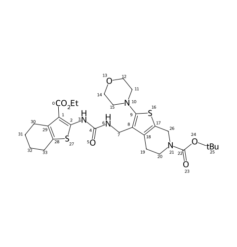 CCOC(=O)c1c(NC(=O)NCc2c(N3CCOCC3)sc3c2CCN(C(=O)OC(C)(C)C)C3)sc2c1CCCC2